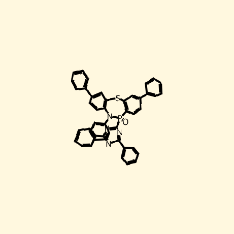 O=P1(c2nc(-c3ccccc3)nc(-c3ccccc3)n2)c2ccc(-c3ccccc3)cc2Sc2cc(-c3ccccc3)ccc2N1c1ccccc1